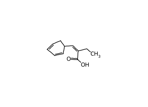 CCC(=CC1C=CC=CC1)C(=O)O